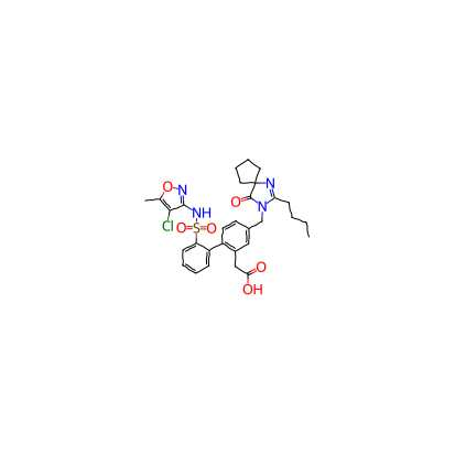 CCCCC1=NC2(CCCC2)C(=O)N1Cc1ccc(-c2ccccc2S(=O)(=O)Nc2noc(C)c2Cl)c(CC(=O)O)c1